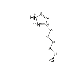 [S]CCCCCc1cc[nH]n1